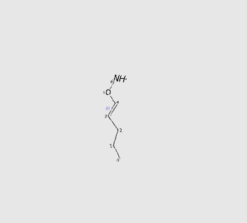 CCC/C=C/O[NH]